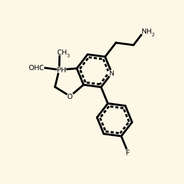 C[PH]1(C=O)COc2c1cc(CCN)nc2-c1ccc(F)cc1